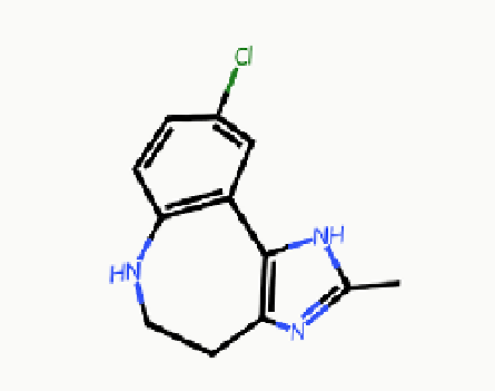 Cc1nc2c([nH]1)-c1cc(Cl)ccc1NCC2